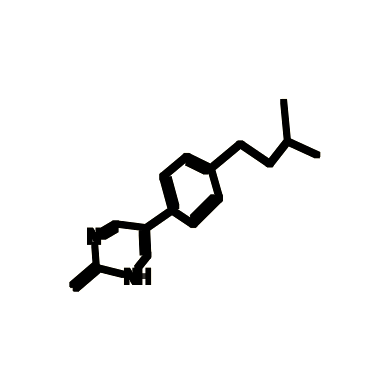 C=C1N=CC(c2ccc(CCC(C)C)cc2)=CN1